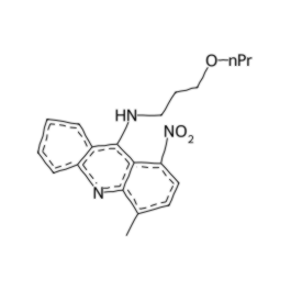 CCCOCCCNc1c2ccccc2nc2c(C)ccc([N+](=O)[O-])c12